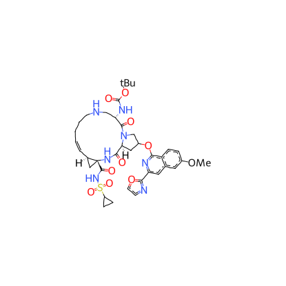 COc1ccc2c(OC3C[C@H]4C(=O)N[C@]5(C(=O)NS(=O)(=O)C6CC6)C[C@H]5/C=C\CCCNC[C@H](NC(=O)OC(C)(C)C)C(=O)N4C3)nc(-c3ncco3)cc2c1